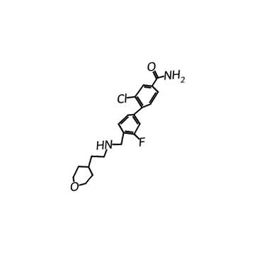 NC(=O)c1ccc(-c2ccc(CNCCC3CCOCC3)c(F)c2)c(Cl)c1